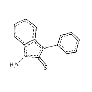 Nn1c(=S)n(-c2[c]cccc2)c2ccccc21